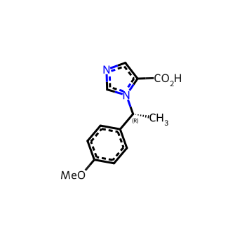 COc1ccc([C@@H](C)n2cncc2C(=O)O)cc1